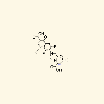 O=C(O)/C=C(/C(=O)O)N1CCN(c2c(F)cc3c(=O)c(C(=O)O)cn(C4CC4)c3c2F)CC1